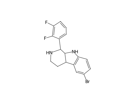 Fc1cccc(C2NCCC3c4cc(Br)ccc4NC32)c1F